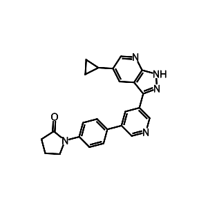 O=C1CCCN1c1ccc(-c2cncc(-c3n[nH]c4ncc(C5CC5)cc34)c2)cc1